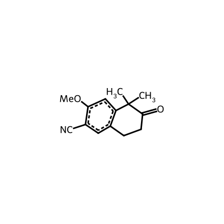 COc1cc2c(cc1C#N)CCC(=O)C2(C)C